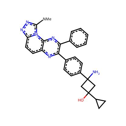 CNc1nnc2ccc3nc(-c4ccc(C5(N)CC(O)(C6CC6)C5)cc4)c(-c4ccccc4)nc3n12